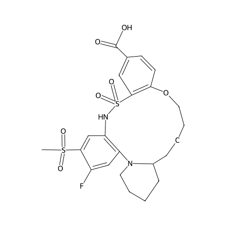 CS(=O)(=O)c1cc2c(cc1F)N1CCCCC1CCCCOc1ccc(C(=O)O)cc1S(=O)(=O)N2